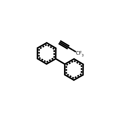 C#CC(F)(F)F.c1ccc(-c2ccccc2)cc1